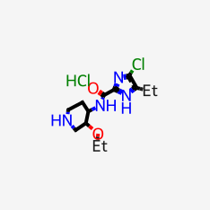 CCOC1CNCCC1NC(=O)c1nc(Cl)c(CC)[nH]1.Cl